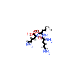 CCCC(NC(=O)C(N)CCCCN)C(=O)NC(CCCCN)C(=O)O